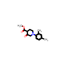 COC(=O)C1CCN(c2ccc(C)cc2C)CC1=O